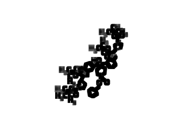 CC(C)(C)OC(=O)[C@@H](Cc1cccc(CC2(C(O)c3cccc(C[C@H](C(=O)OC(C)(C)C)[C@H]4CCN(C(=O)OC(C)(C)C)C4)c3)CCN(C(=O)OCc3ccccc3)CC2)c1)[C@H]1CCN(C(=O)OC(C)(C)C)C1